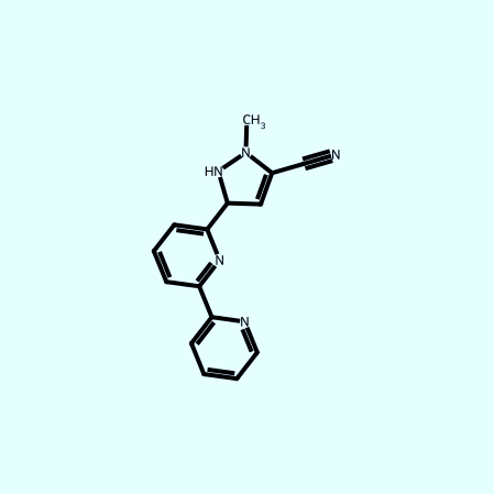 CN1NC(c2cccc(-c3ccccn3)n2)C=C1C#N